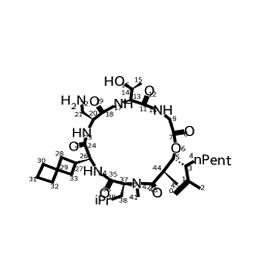 C=C(C)C(CCCCC)[C@H]1OC(=O)CNC(=O)[C@H]([C@H](C)O)NC(=O)[C@H](CN)NC(=O)[C@H](C2CC3(CCC3)C2)NC(=O)[C@H](CC(C)C)N(C)C(=O)[C@@H]1C